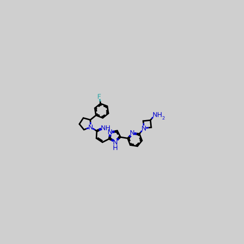 N=C(/C=C\c1ncc(-c2cccc(N3CC(N)C3)n2)[nH]1)N1CCCC1c1cccc(F)c1